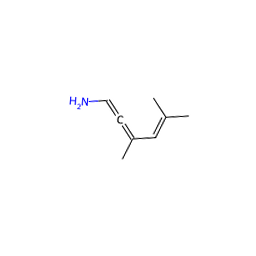 CC(=C=CN)C=C(C)C